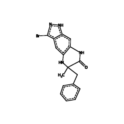 CC1(Cc2ccccc2)Nc2cc3c(Br)n[nH]c3cc2NC1=O